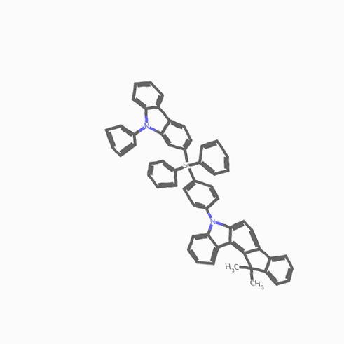 CC1(C)c2ccccc2-c2ccc3c(c21)c1ccccc1n3-c1ccc([Si](c2ccccc2)(c2ccccc2)c2ccc3c4ccccc4n(-c4ccccc4)c3c2)cc1